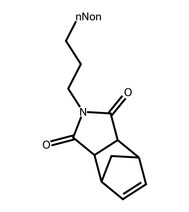 CCCCCCCCCCCCN1C(=O)C2C3C=CC(C3)C2C1=O